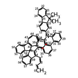 C=C/C=C\C1=C(C2=CC=C(N(c3ccc4c(c3)C(C)(C)c3ccccc3-4)c3ccccc3-c3ccccc3)CC2)C2(C3=C(C=CC#CC3)c3ccccc32)c2ccccc21